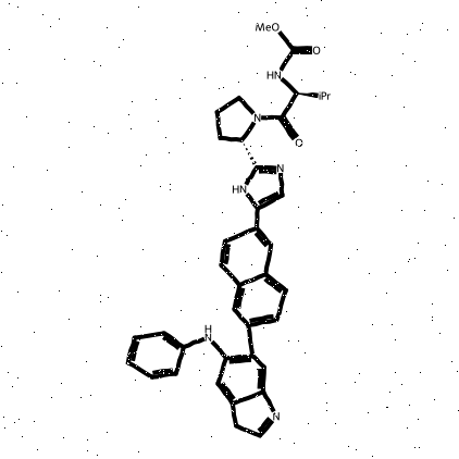 COC(=O)N[C@H](C(=O)N1CCC[C@H]1c1ncc(-c2ccc3cc(-c4cc5c(cc4Nc4ccccc4)CC=N5)ccc3c2)[nH]1)C(C)C